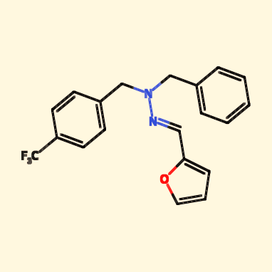 FC(F)(F)c1ccc(CN(Cc2ccccc2)/N=C/c2ccco2)cc1